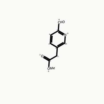 COC(=O)Cc1ccc(C=O)nc1